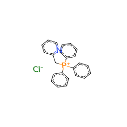 [Cl-].c1ccc([P+](Cc2ccccn2)(c2ccccc2)c2ccccc2)cc1